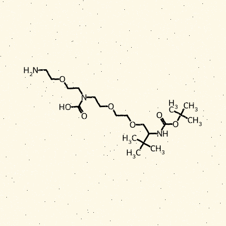 CC(C)(C)OC(=O)NC(COCCOCCN(CCOCCN)C(=O)O)C(C)(C)C